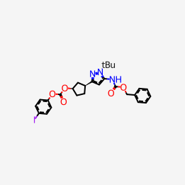 CC(C)(C)n1nc([C@H]2CC[C@@H](OC(=O)Oc3ccc(I)cc3)C2)cc1NC(=O)OCc1ccccc1